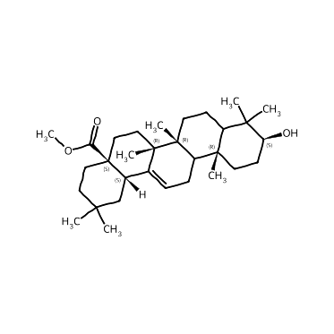 COC(=O)[C@]12CCC(C)(C)C[C@H]1C1=CCC3[C@@]4(C)CC[C@H](O)C(C)(C)C4CC[C@@]3(C)[C@@]1(C)CC2